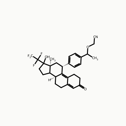 CC(OCC#N)c1ccc([C@H]2C[C@@]3(C)C(CCC3(O)C(F)(F)C(F)(F)F)[C@@H]3CCC4=CC(=O)CCC4=C32)cc1